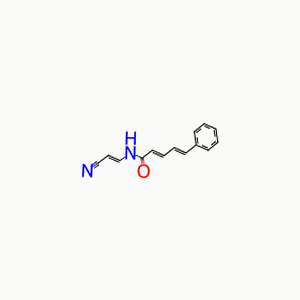 N#CC=CNC(=O)C=CC=Cc1ccccc1